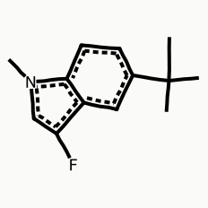 Cn1cc(F)c2cc(C(C)(C)C)ccc21